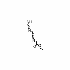 CCOC(=O)CN=C=C=CN=C=C=N